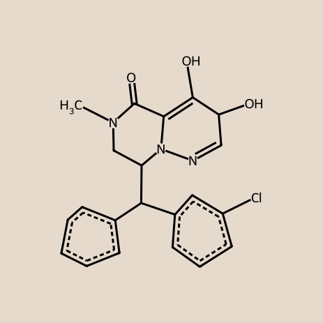 CN1CC(C(c2ccccc2)c2cccc(Cl)c2)N2N=CC(O)C(O)=C2C1=O